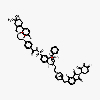 CC1(C)CCC(c2ccc(Cl)cc2)=C(CN2CCN(c3ccc(C(=O)NS(=O)(=O)c4ccc(N[C@H](CCN5CC6CCC5CN6Cc5ccc6c(c5F)C(=O)N(C5CCC(=O)NC5=O)C6=O)CSc5ccccc5)c(S(=O)(=O)C(F)(F)F)c4)cc3)CC2)C1